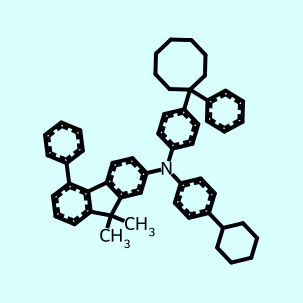 CC1(C)c2cc(N(c3ccc(C4CCCCC4)cc3)c3ccc(C4(c5ccccc5)CCCCCCC4)cc3)ccc2-c2c(-c3ccccc3)cccc21